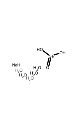 O.O.O.O.O.O=[Se](O)O.[NaH]